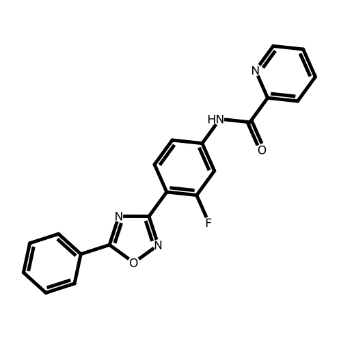 O=C(Nc1ccc(-c2noc(-c3ccccc3)n2)c(F)c1)c1ccccn1